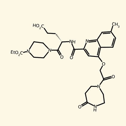 CCOC(=O)N1CCN(C(=O)[C@H](CCC(=O)O)NC(=O)c2cc(OCC(=O)N3CCNC(=O)CC3)c3ccc(C)cc3n2)CC1